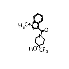 Cn1cc(C(=O)N2CCC(O)(C(F)(F)F)CC2)c2ccccc21